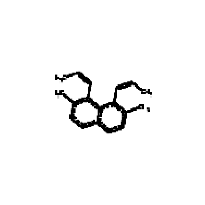 C/C=C\c1c(C)ccc2ccc(C)c(/C=C\C)c12